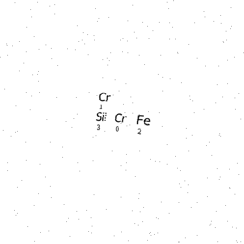 [Cr].[Cr].[Fe].[Si]